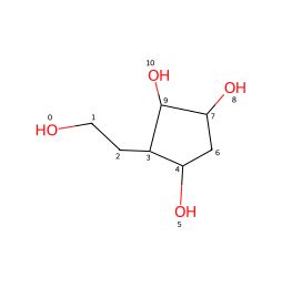 OCCC1C(O)CC(O)C1O